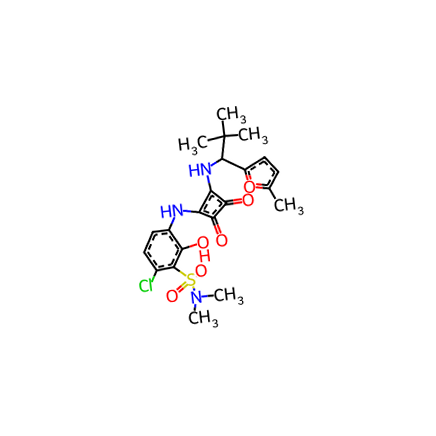 Cc1ccc(C(Nc2c(Nc3ccc(Cl)c(S(=O)(=O)N(C)C)c3O)c(=O)c2=O)C(C)(C)C)o1